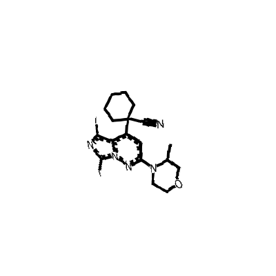 CC1COCCN1c1cc(C2(C#N)CCCCC2)c2c(I)nc(I)n2n1